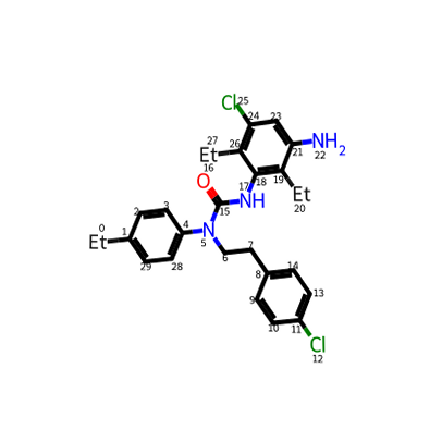 CCc1ccc(N(CCc2ccc(Cl)cc2)C(=O)Nc2c(CC)c(N)cc(Cl)c2CC)cc1